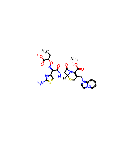 CCC(O/N=C(\C(=O)N[C@@H]1C(=O)N2C(C(=O)O)=C(Cn3cc[n+]4ccccc34)CS[C@H]12)c1csc(N)n1)C(=O)O.[NaH]